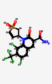 NC(=O)c1cc2cc(F)c(C(F)(F)F)c(F)c2n(C2C=CS(=O)(=O)C2)c1=O